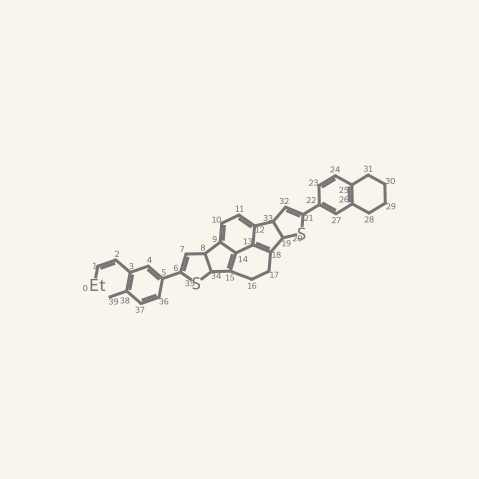 CC/C=C\c1cc(C2=CC3c4ccc5c6c4=C(CCC=6C4SC(c6ccc7c(c6)CCCC7)=CC54)C3S2)ccc1C